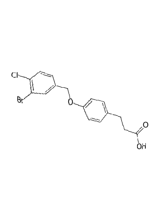 O=C(O)CCc1ccc(OCc2ccc(Cl)c(Br)c2)cc1